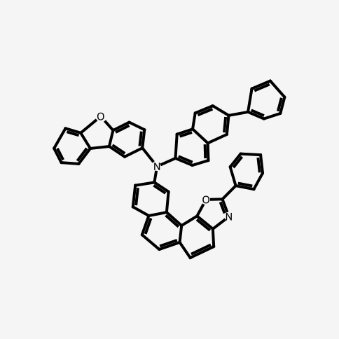 c1ccc(-c2ccc3cc(N(c4ccc5oc6ccccc6c5c4)c4ccc5ccc6ccc7nc(-c8ccccc8)oc7c6c5c4)ccc3c2)cc1